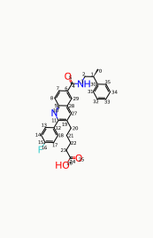 C[C@H](CNC(=O)c1ccc2nc(-c3ccc(F)cc3)c(CCCCC(=O)O)cc2c1)c1ccccc1